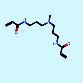 C=CC(=O)NCCCN(C)CCCNC(=O)C=C